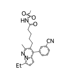 CCc1ccc2c(-c3cccc(C#N)c3)c(CCCCC(=O)NS(C)(=O)=O)c(C)nn12